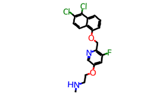 CNCCOc1cnc(COc2cccc3c(Cl)c(Cl)ccc23)c(F)c1